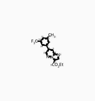 CCOC(=O)c1cnc2cc(-c3cc(C)cc(C(F)(F)F)c3)cnn12